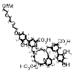 COCCOCCOCCOc1ccc(-c2cc(CN3CCN(CC(=O)O)Cc4cccc(n4)CN(Cc4cc(-c5ccc(O)cc5C)cc(C(=O)O)n4)CC3)nc(C(=O)O)c2)c(C)c1